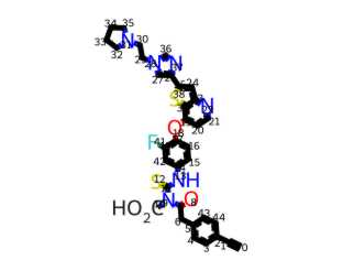 C#Cc1ccc(CC(=O)N(C(=O)O)C(=S)Nc2ccc(Oc3ccnc4cc(-c5cn(CCN6CCCC6)cn5)sc34)c(F)c2)cc1